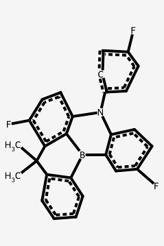 CC1(C)c2ccccc2B2c3cc(F)ccc3N(c3ccc(F)cc3)c3ccc(F)c1c32